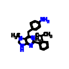 CC(C)c1ccccc1-c1nc(Cc2ccc(N)cc2)c2c(n1)NCN2C